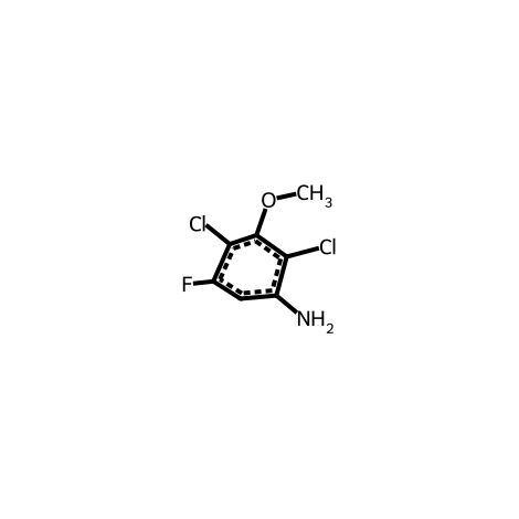 COc1c(Cl)c(N)cc(F)c1Cl